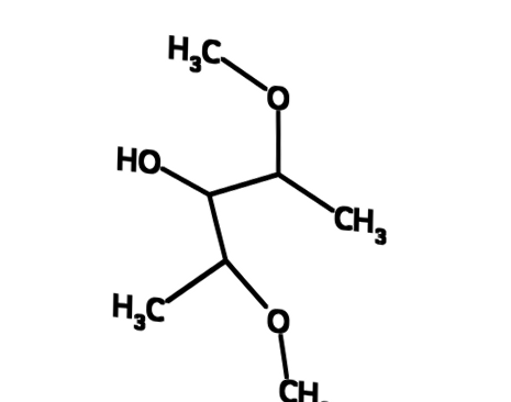 COC(C)C(O)C(C)OC